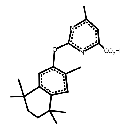 Cc1cc(C(=O)O)nc(Oc2cc3c(cc2C)C(C)(C)CCC3(C)C)n1